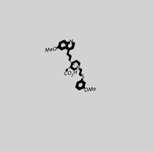 COc1cccc(SCCN2CC[C@@H](CCCc3ccnc4ccc(OC)cc34)[C@@H](CC(=O)O)C2)c1